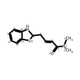 CN(C)C(=O)C=CCC1Nc2ccccc2S1